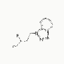 C=CC(F)CCn1nnc2ccccc21